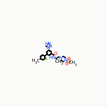 Cc1ccc(-c2cc(C(=O)N[C@H](C)CN3CCN(S(C)(=O)=O)CC3)cc(-n3cnnn3)c2)c(F)c1